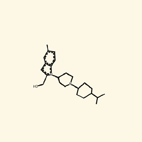 Cc1ccc2c(c1)cc(CO)n2C1CCN(C2CCC(C(C)C)CC2)CC1